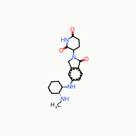 CN[C@@H]1CCCC[C@H]1Nc1ccc2c(c1)CN(C1CCC(=O)NC1=O)C2=O